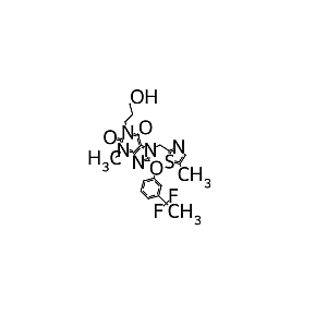 Cc1cnc(Cn2c(Oc3cccc(C(C)(F)F)c3)nc3c2c(=O)n(CCCO)c(=O)n3C)s1